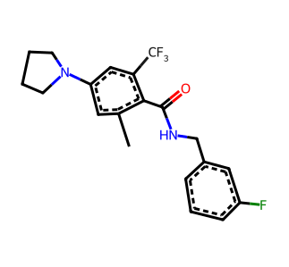 Cc1cc(N2CCCC2)cc(C(F)(F)F)c1C(=O)NCc1cccc(F)c1